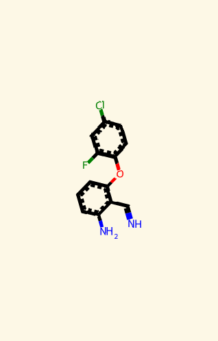 N=Cc1c(N)cccc1Oc1ccc(Cl)cc1F